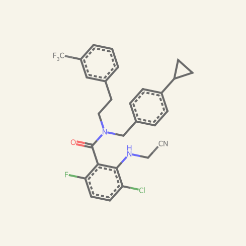 N#CCNc1c(Cl)ccc(F)c1C(=O)N(CCc1cccc(C(F)(F)F)c1)Cc1ccc(C2CC2)cc1